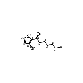 CCCCCCC(=O)c1sccc1Br